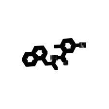 Cc1ccc(C#N)cc1C(=O)NC(C)Cc1cccc2ccccc12